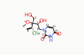 C=C[C@](CO)(OC)[C@@H](O)[C@@H](Cl)n1ccc(=O)[nH]c1=O